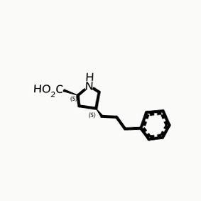 O=C(O)[C@@H]1C[C@H](CCCc2ccccc2)CN1